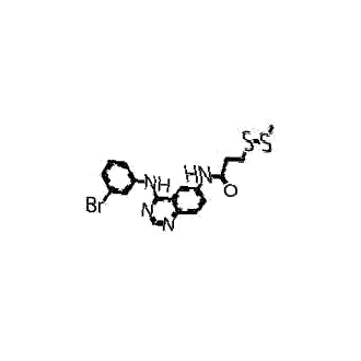 CSSCCC(=O)Nc1ccc2ncnc(Nc3cccc(Br)c3)c2c1